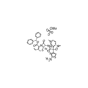 C=CC1=C(C(=O)OC(c2ccccc2)c2ccccc2)N2C(=O)C(NC(=O)C(ON=C)(c3ccc[n+](C)c3)c3csc(N)n3)[C@H]2SC1.COS(=O)(=O)[O-]